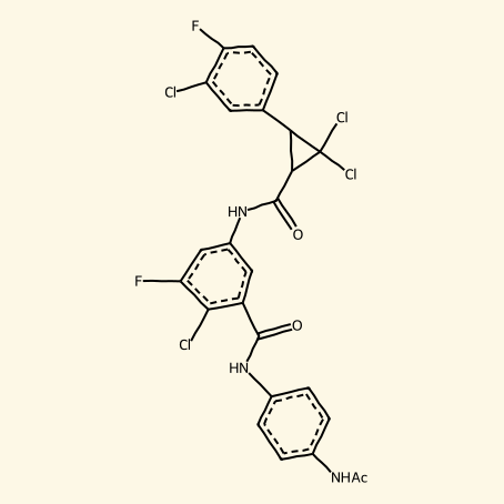 CC(=O)Nc1ccc(NC(=O)c2cc(NC(=O)C3C(c4ccc(F)c(Cl)c4)C3(Cl)Cl)cc(F)c2Cl)cc1